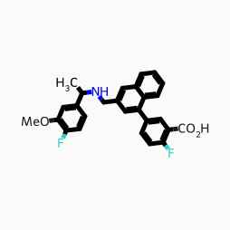 COc1cc(C(C)NCc2cc(-c3ccc(F)c(C(=O)O)c3)c3ccccc3c2)ccc1F